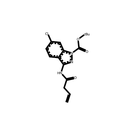 C=CCC(=O)Nc1nn(C(=O)OC(C)(C)C)c2cc(Cl)ccc12